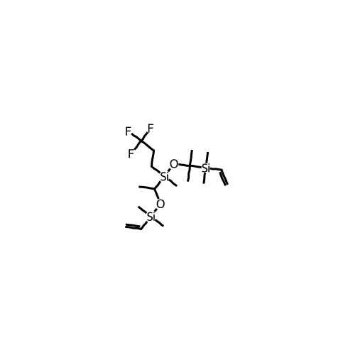 C=C[Si](C)(C)OC(C)[Si](C)(CCC(F)(F)F)OC(C)(C)[Si](C)(C)C=C